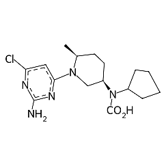 C[C@H]1CC[C@@H](N(C(=O)O)C2CCCC2)CN1c1cc(Cl)nc(N)n1